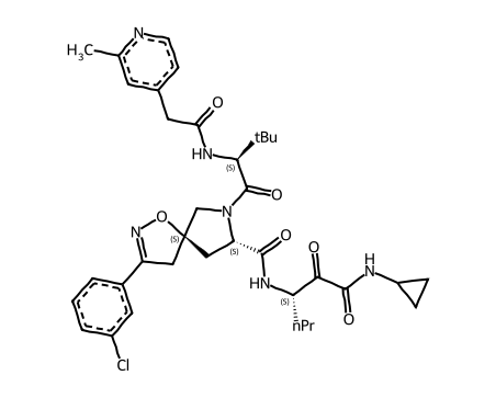 CCC[C@H](NC(=O)[C@@H]1C[C@]2(CC(c3cccc(Cl)c3)=NO2)CN1C(=O)[C@@H](NC(=O)Cc1ccnc(C)c1)C(C)(C)C)C(=O)C(=O)NC1CC1